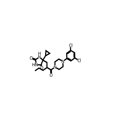 CCCC(CC1(C2CC2)NC(=O)NC1=O)C(=O)N1CCN(c2cc(Cl)cc(Cl)c2)CC1